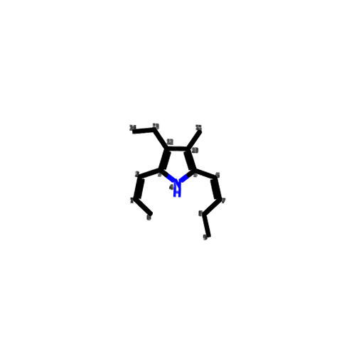 C/C=C\c1[nH]c(/C=C\CC)c(C)c1CC